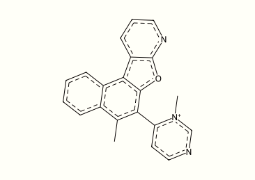 Cc1c(-c2ccnc[n+]2C)c2oc3ncccc3c2c2ccccc12